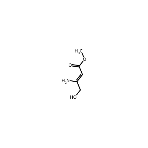 COC(=O)C=C(N)CO